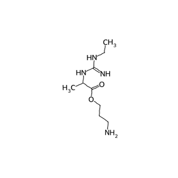 CCNC(=N)NC(C)C(=O)OCCCN